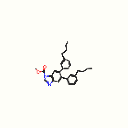 CCCCc1cccc(-c2cc3ncn(C(=O)OC)c3cc2-c2cccc(CCCC)c2)c1